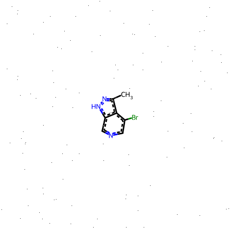 Cc1n[nH]c2cncc(Br)c12